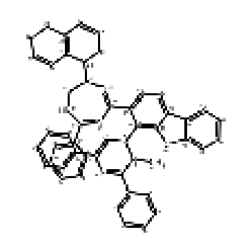 CN1C(c2ccccc2)=NC(c2ccccc2)=CC1c1c(C2=NC(C3CC=CC4=C3C=CCC4)CNC(c3ccccc3)=N2)ccc2c1oc1ccccc12